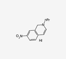 CCCN1C=Cc2ccc([N+](=O)[O-])cc2C1.I